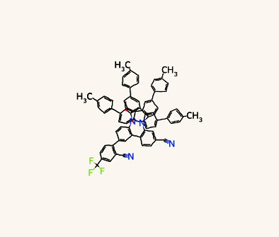 Cc1ccc(-c2ccc3c(c2)c2cc(-c4ccc(C)cc4)ccc2n3-c2ccc(-c3ccc(C(F)(F)F)cc3C#N)cc2-c2ccc(C#N)cc2-n2c3ccc(-c4ccc(C)cc4)cc3c3cc(-c4ccc(C)cc4)ccc32)cc1